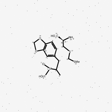 CCCCCCCC[S+]([O-])C(C)Cc1ccc2c(c1)OCO2.CSCSC[C@H](N)C(=O)O